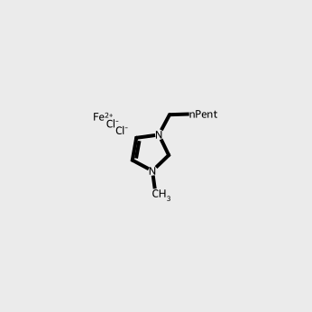 CCCCCCN1C=CN(C)C1.[Cl-].[Cl-].[Fe+2]